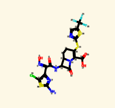 Nc1nc(/C(=N/O)C(=O)NC2C(=O)N3C(C(=O)O)=C(Sc4ncc(C(F)(F)F)s4)CCC23)c(Cl)s1